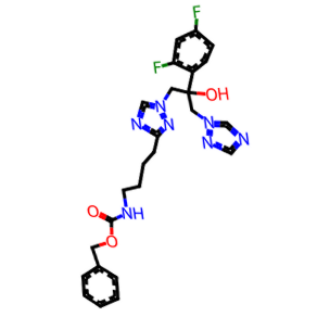 O=C(NCCCCc1ncn(CC(O)(Cn2cncn2)c2ccc(F)cc2F)n1)OCc1ccccc1